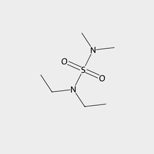 CCN(CC)S(=O)(=O)N(C)C